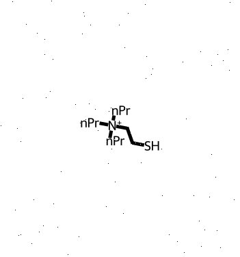 CCC[N+](CCC)(CCC)CCS